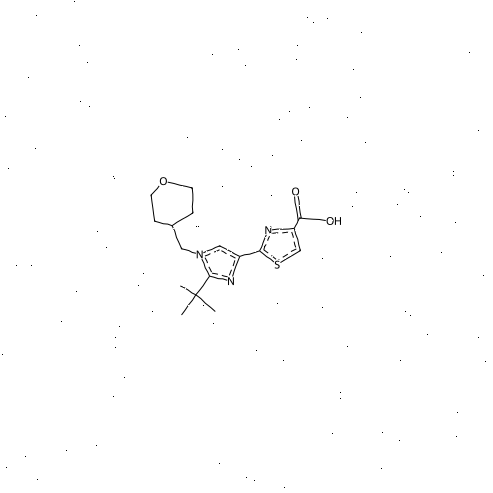 CC(C)(C)c1nc(-c2nc(C(=O)O)cs2)cn1CC1CCOCC1